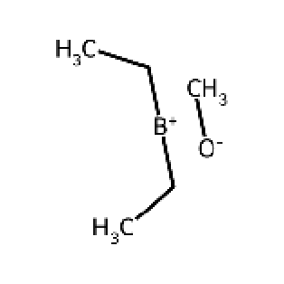 CC[B+]CC.C[O-]